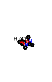 CC1(C)c2ccccc2-c2cc(N(c3ccccc3-c3ccccc3)c3cc4ccccc4c4nc(-c5ccccc5)oc34)ccc21